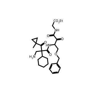 CCOC(=O)CNC(=O)C(=O)C(COCc1ccccc1)NC(=O)C(CN)(C(=O)C1(C)CC1)C1CCCCC1